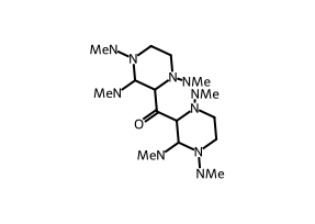 CNC1C(C(=O)C2C(NC)N(NC)CCN2NC)N(NC)CCN1NC